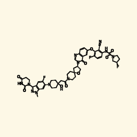 Cn1nc(N2CCC(=O)NC2=O)c2cc(F)c(N3CCC(O)(CC(=O)N4CCC5(CC4)C[C@@H](n4cnc6ccc(Oc7c(F)ccc(NS(=O)(=O)N8CC[C@@H](F)C8)c7C#N)cc6c4=O)CO5)CC3)cc21